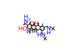 C=C(N)C1=C(O)C(N(C)C)[C@@H]2C[C@@H]3Cc4c(CNCC(C)(C)C)cc(CNCC(C)(C)C)c(C)c4C(=C)C3=C(C)[C@]2(O)C1=C